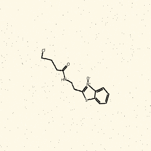 O=C(CCCCl)NCCc1sc2ccccc2[n+]1[O-]